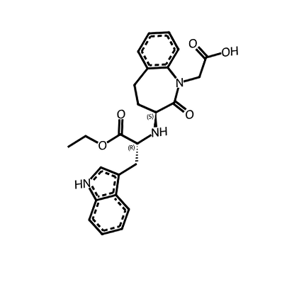 CCOC(=O)[C@@H](Cc1c[nH]c2ccccc12)N[C@H]1CCc2ccccc2N(CC(=O)O)C1=O